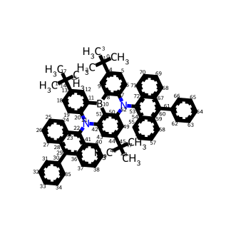 CC(C)(C)c1ccc2c(c1)B1c3cc(C(C)(C)C)ccc3N(c3c4ccccc4c(-c4ccccc4)c4ccccc34)c3cc(C(C)(C)C)cc(c31)N2c1c2ccccc2c(-c2ccccc2)c2ccccc12